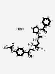 Br.CC(C)(CNC(=O)[C@H]1CCCN1C(=O)c1ccccc1)NCC(O)c1ccc(OC(=O)C(C)(C)C)cc1